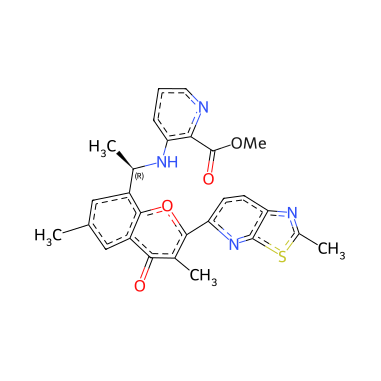 COC(=O)c1ncccc1N[C@H](C)c1cc(C)cc2c(=O)c(C)c(-c3ccc4nc(C)sc4n3)oc12